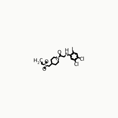 C=CS(=O)(=O)CC1CCN(C(=O)CNc2cc(Cl)c(Cl)cc2I)CC1